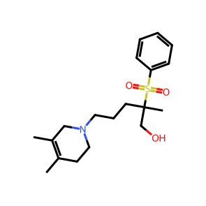 CC1=C(C)CN(CCCC(C)(CO)S(=O)(=O)c2ccccc2)CC1